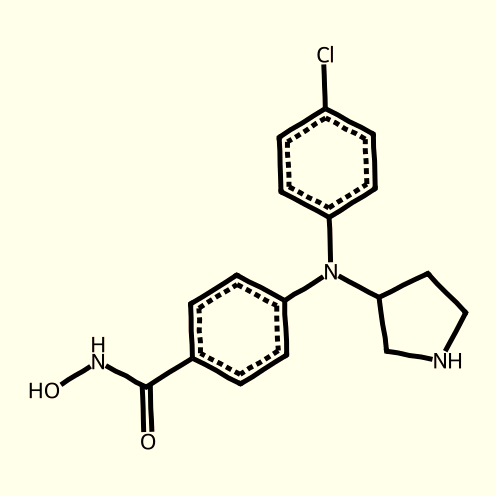 O=C(NO)c1ccc(N(c2ccc(Cl)cc2)C2CCNC2)cc1